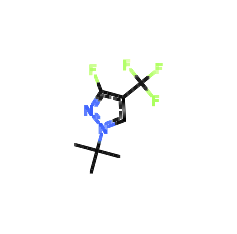 CC(C)(C)n1cc(C(F)(F)F)c(F)n1